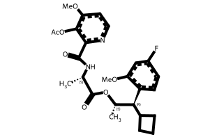 COc1cc(F)ccc1[C@@H](C1CCC1)[C@H](C)OC(=O)[C@H](C)NC(=O)c1nccc(OC)c1OC(C)=O